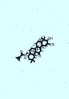 CC1(C)CC[C@]2(CNC(=O)C3CC3)CC[C@]3(C)[C@H](C(=O)C=C4[C@@]5(C)C=C(C#N)C(O)C(C)(C)[C@@H]5CC[C@]43C)[C@@H]2C1